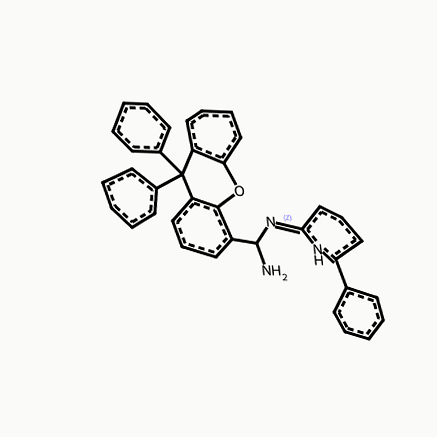 NC(/N=c1/cccc(-c2ccccc2)[nH]1)c1cccc2c1Oc1ccccc1C2(c1ccccc1)c1ccccc1